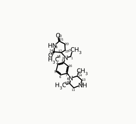 CCN(c1cccc(N2[C@H](C)CNC[C@@H]2C)c1)[C@]1(C)CCC(=O)NC1=O